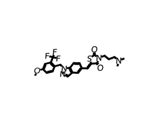 COc1ccc(Cn2ncc3cc(/C=C4\SC(=O)N(CCCN(C)C)C4=O)ccc32)c(C(F)(F)F)c1